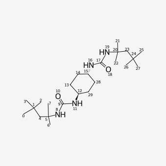 CC(C)(C)CC(C)(C)NC(=O)N[C@H]1CC[C@H](NC(=O)NC(C)(C)CC(C)(C)C)CC1